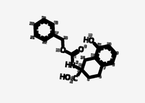 O=C(N[C@@]1(C(=O)O)CCc2cccc(O)c2C1)OCc1ccccc1